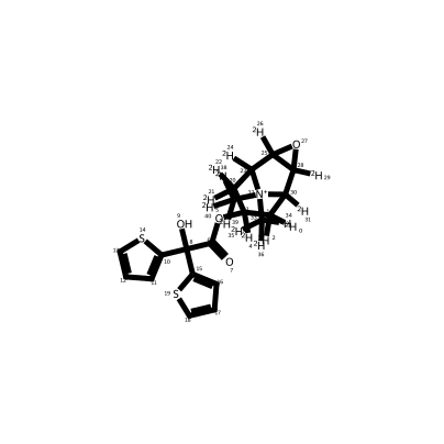 [2H]C1([2H])C([2H])(OC(=O)C(O)(c2cccs2)c2cccs2)C([2H])([2H])C2([2H])C3([2H])OC3([2H])C1([2H])[N+]2(C([2H])([2H])[2H])C([2H])([2H])[2H]